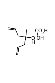 C=CCC(C)(O)CC=C.O=C(O)O